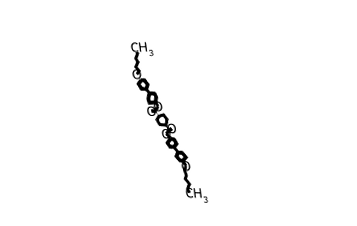 CCCCCCOc1ccc(-c2ccc(OC(=O)[C@H]3CC[C@H](C(=O)Oc4ccc(-c5ccc(OCCCCCC)cc5)cc4)CC3)cc2)cc1